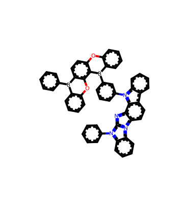 c1ccc(B2c3ccccc3Oc3c2ccc2c3B(c3cccc(-n4c5ccccc5c5ccc6c(nc7n(-c8ccccc8)c8ccccc8n67)c54)c3)c3ccccc3O2)cc1